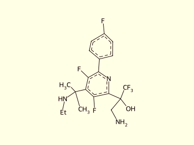 CCNC(C)(C)c1c(F)c(-c2ccc(F)cc2)nc(C(O)(CN)C(F)(F)F)c1F